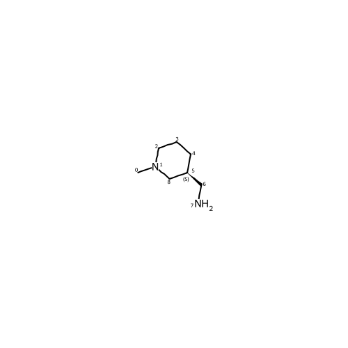 CN1CCC[C@@H](CN)C1